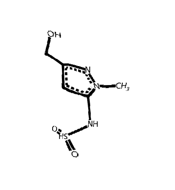 Cn1nc(CO)cc1N[SH](=O)=O